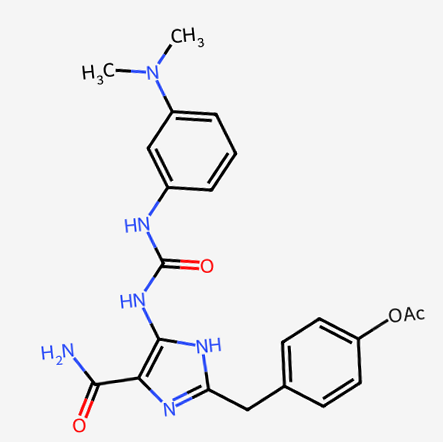 CC(=O)Oc1ccc(Cc2nc(C(N)=O)c(NC(=O)Nc3cccc(N(C)C)c3)[nH]2)cc1